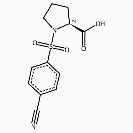 N#Cc1ccc(S(=O)(=O)N2CCC[C@H]2C(=O)O)cc1